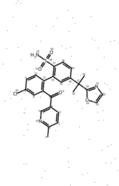 Cc1ccc(C(=O)c2cc(Cl)ccc2-c2cc(C(C)(C)c3ncco3)ccc2S(N)(=O)=O)cn1